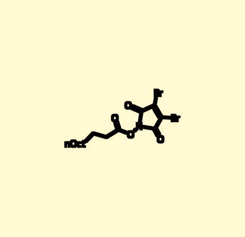 CCCCCCCCCCC(=O)ON1C(=O)C(Br)=C(Br)C1=O